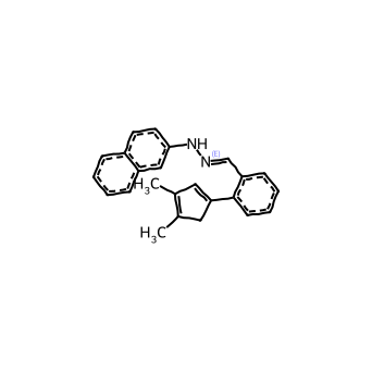 CC1=C(C)CC(c2ccccc2/C=N/Nc2ccc3ccccc3c2)=C1